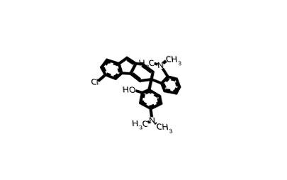 CN(C)c1ccc(C2(c3ccccc3N(C)C)C=CC3=Cc4ccc(Cl)cc4C3=C2)c(O)c1